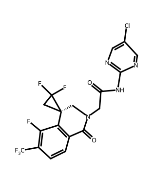 O=C(CN1C[C@@]2(CC2(F)F)c2c(ccc(C(F)(F)F)c2F)C1=O)Nc1ncc(Cl)cn1